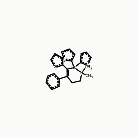 C[N+]1(C)CCC(c2ccccc2)=C(c2cccs2)[B-]1(c1cccs1)c1cccs1